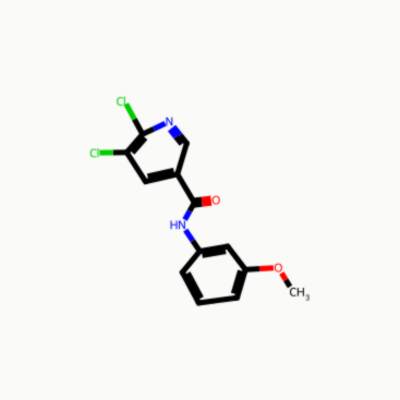 COc1cccc(NC(=O)c2cnc(Cl)c(Cl)c2)c1